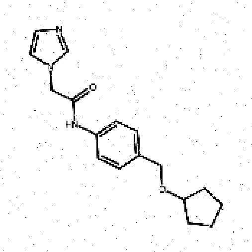 O=C(Cn1ccnc1)Nc1ccc(COC2CCCC2)cc1